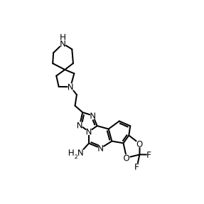 Nc1nc2c3c(ccc2c2nc(CCN4CCC5(CCNCC5)C4)nn12)OC(F)(F)O3